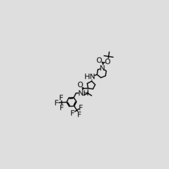 CC(C)[C@]1(C(=O)NCc2cc(C(F)(F)F)cc(C(F)(F)F)c2)CC[C@@H](NC2CCCN(C(=O)OC(C)(C)C)C2)C1